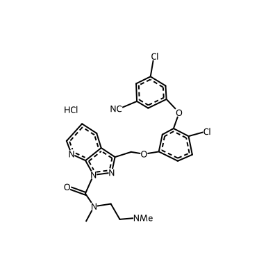 CNCCN(C)C(=O)n1nc(COc2ccc(Cl)c(Oc3cc(Cl)cc(C#N)c3)c2)c2cccnc21.Cl